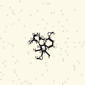 COC1=CC=CC23CC(C)=C(OC)C(C)=C2n2c([S])cnc2N13